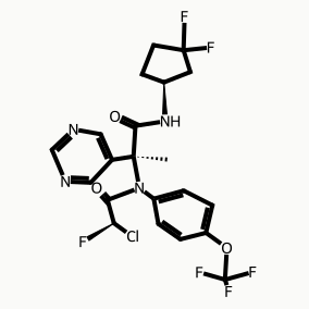 C[C@@](C(=O)N[C@H]1CCC(F)(F)C1)(c1cncnc1)N(C(=O)[C@H](F)Cl)c1ccc(OC(F)(F)F)cc1